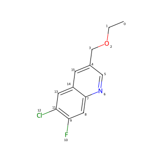 CCOCc1cnc2cc(F)c(Cl)cc2c1